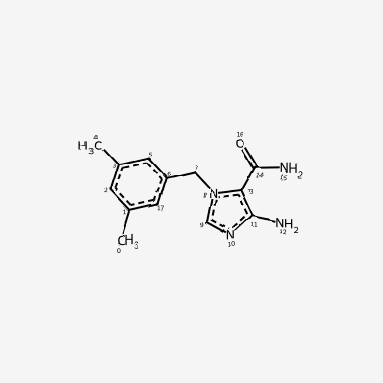 Cc1cc(C)cc(Cn2cnc(N)c2C(N)=O)c1